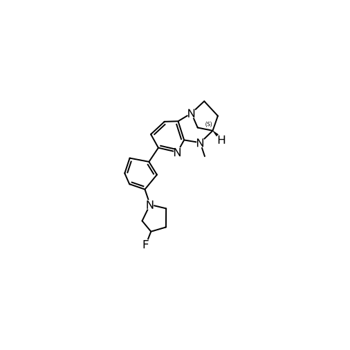 CN1c2nc(-c3cccc(N4CCC(F)C4)c3)ccc2N2CC[C@H]1C2